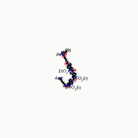 CCOC(=O)n1c(C(=O)N2CCc3c2ccc2c3cc(C(=O)N3CCc4c3ccc3c4cc(C(=O)N(C)CCCCCCN(C)C(C)=O)n3C(=O)OCC)n2C(=O)OCC)cc2c3c(ccc21)N(C(=O)CCCCCOP(OCCC#N)N(C(C)C)C(C)C)CC3